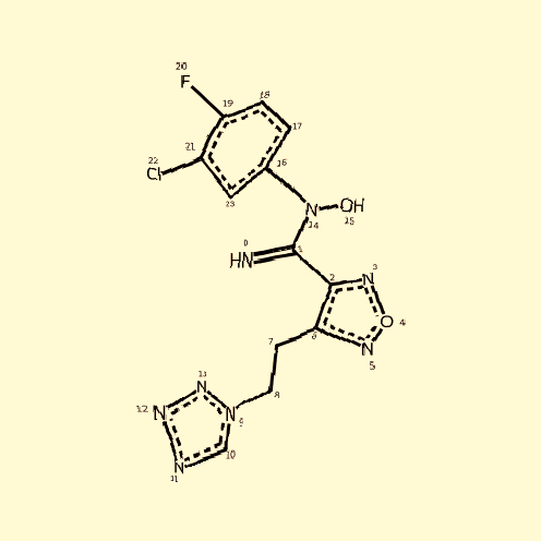 N=C(c1nonc1CCn1cnnn1)N(O)c1ccc(F)c(Cl)c1